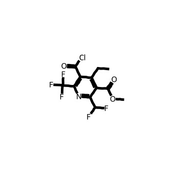 CCc1c(C(=O)OC)c(C(F)F)nc(C(F)(F)F)c1C(=O)Cl